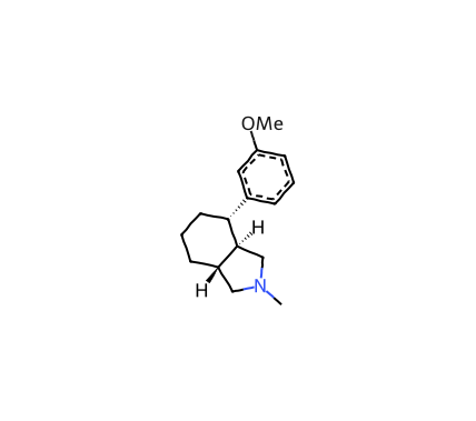 COc1cccc([C@H]2CCC[C@H]3CN(C)C[C@@H]32)c1